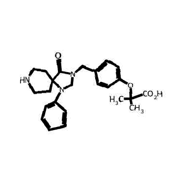 CC(C)(Oc1ccc(CN2CN(c3ccccc3)C3(CCNCC3)C2=O)cc1)C(=O)O